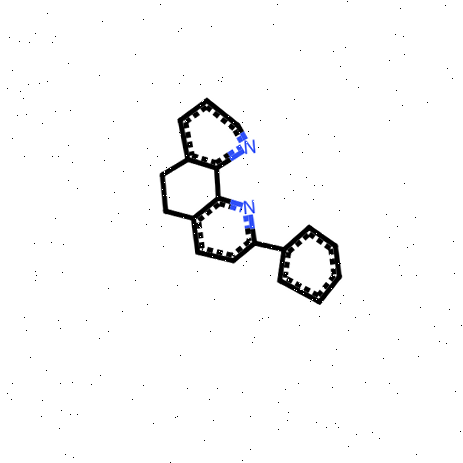 c1ccc(-c2ccc3c(n2)-c2ncccc2CC3)cc1